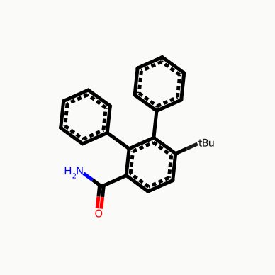 CC(C)(C)c1ccc(C(N)=O)c(-c2ccccc2)c1-c1ccccc1